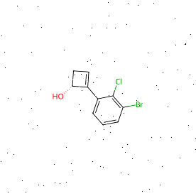 O[C@@H]1CC=C1c1cccc(Br)c1Cl